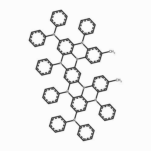 Cc1ccc2c(c1)N(c1ccccc1)c1cc(N(c3ccccc3)c3ccccc3)cc3c1B2c1cc2c(cc1N3c1ccccc1)N(c1ccccc1)c1cc(N(c3ccccc3)c3ccccc3)cc3c1B2c1ccc(C)cc1N3c1ccccc1